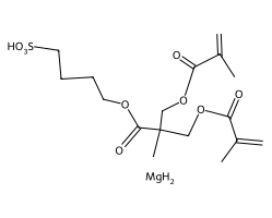 C=C(C)C(=O)OCC(C)(COC(=O)C(=C)C)C(=O)OCCCCS(=O)(=O)O.[MgH2]